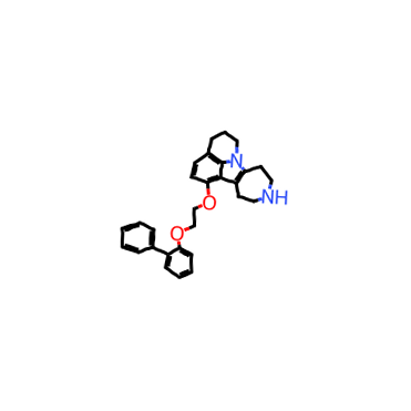 c1ccc(-c2ccccc2OCCOc2ccc3c4c2c2c(n4CCC3)CCNCC2)cc1